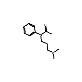 CC(=O)N(CCCN(C)C)c1ccccc1